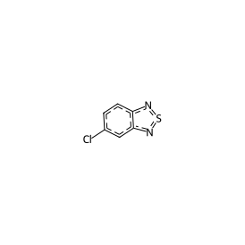 Clc1ccc2nsnc2c1